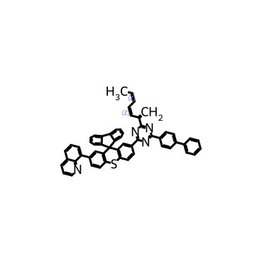 C=C(/C=C\C=C/C)c1nc(-c2ccc(-c3ccccc3)cc2)nc(-c2ccc3c(c2)C2(c4cc(-c5cccc6cccnc56)ccc4S3)c3ccccc3-c3ccccc32)n1